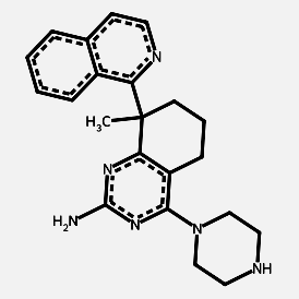 CC1(c2nccc3ccccc23)CCCc2c(N3CCNCC3)nc(N)nc21